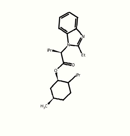 CCc1nc2ccccc2n1[C@@H](C(=O)O[C@@H]1C[C@H](C)CCC1C(C)C)C(C)C